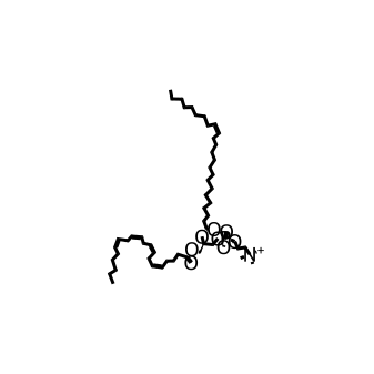 CCCCC/C=C\C/C=C\C/C=C\C/C=C\CCCC(=O)OC[C@H](COP(=O)([O-])OCC[N+](C)(C)C)OC(=O)CCCCCCCCCCCCC/C=C\CCCCCCCC